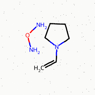 C=CN1CCCC1.NON